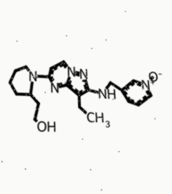 CCc1c(NCc2ccc[n+]([O-])c2)nn2ccc(N3CCCCC3CCO)nc12